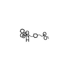 CCOC(=O)CCc1ccc(CCNS(=O)(=O)c2ccccc2Cl)cc1